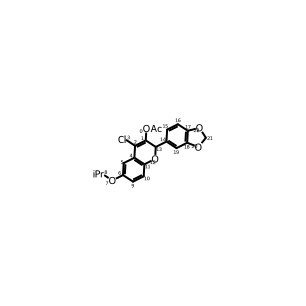 CC(=O)OC1=C(Cl)c2cc(OC(C)C)ccc2OC1c1ccc2c(c1)OCO2